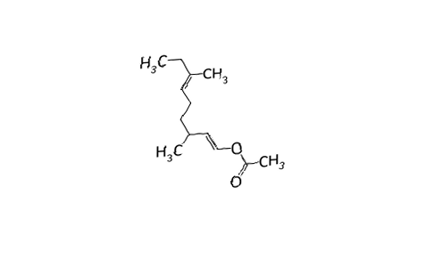 CCC(C)=CCCC(C)C=COC(C)=O